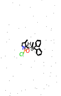 C=C1CCN2[C@H]1[C@H](C(=C)[Si](C)(c1ccccc1)c1ccccc1)OP2Cl